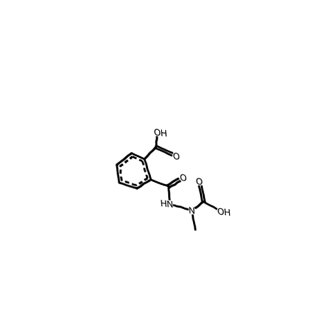 CN(NC(=O)c1ccccc1C(=O)O)C(=O)O